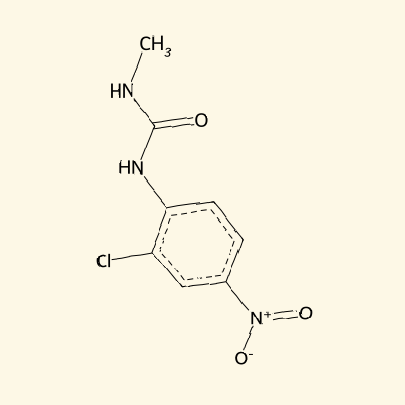 CNC(=O)Nc1ccc([N+](=O)[O-])cc1Cl